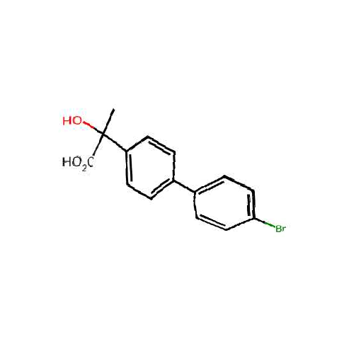 CC(O)(C(=O)O)c1ccc(-c2ccc(Br)cc2)cc1